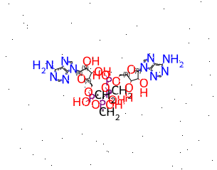 C=P(O)(CP(=C)(O)OP(=C)(O)OC[C@H]1O[C@@H](n2cnc3c(N)ncnc32)[C@@H](O)C1O)OP(O)OC[C@H]1O[C@@H](n2cnc3c(N)ncnc32)C(O)C1O